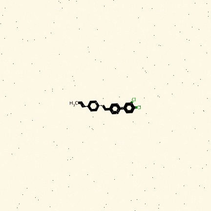 CC=C[C@H]1CC[C@H](CCc2ccc(-c3ccc(Cl)c(Cl)c3)cc2)CC1